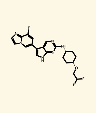 Fc1cc(-c2c[nH]c3nc(N[C@H]4CC[C@@H](OCC(F)F)CC4)ncc23)cn2ccnc12